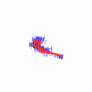 CCCC[C@H](NC(=O)CN(CCN(C)C)C(=O)[C@H](Cc1c[nH]cn1)NC(=O)[C@H](CCC(N)=O)NC(=O)[C@H](CO)NC(=O)CNC(=O)COCCOCCNC(=O)CCCCCCCCCCCCCCCc1nnn[nH]1)C(=O)N[C@H]1CCC(=O)NCCCC[C@@H](C(C)=O)NC(=O)[C@H](Cc2c[nH]c3ccccc23)NC(=O)[C@H](CCCNC(=N)N)NC(=O)[C@@H](Cc2ccccc2)NC(=O)[C@@H]2CCCN2C1=O